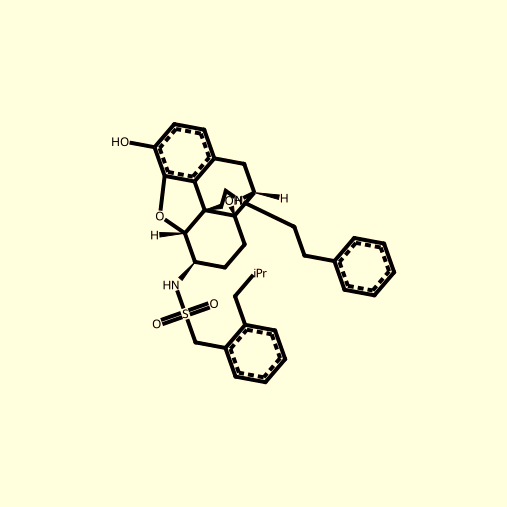 CC(C)Cc1ccccc1CS(=O)(=O)N[C@@H]1CC[C@@]2(O)[C@H]3Cc4ccc(O)c5c4[C@@]2(CCN3CCc2ccccc2)[C@H]1O5